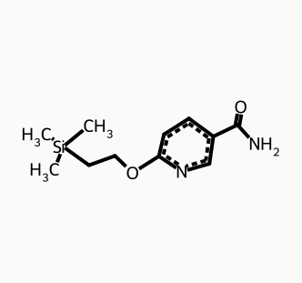 C[Si](C)(C)CCOc1ccc(C(N)=O)cn1